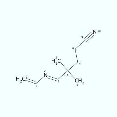 C=C/N=C/C(C)(C)CCC#N